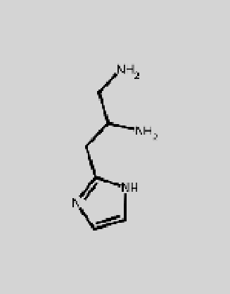 NCC(N)Cc1ncc[nH]1